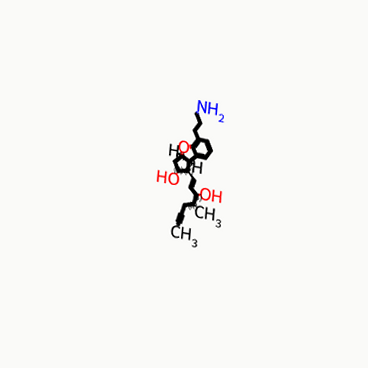 CC#CC[C@@H](C)[C@H](O)C=C[C@@H]1[C@H]2c3cccc(CCCN)c3O[C@H]2C[C@H]1O